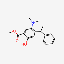 COC(=O)c1cc(N(C)C)c(C(C)c2ccccc2)cc1O